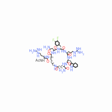 CC(=O)N[C@@H](CCCNC(=N)N)C(=O)N[C@H]1CCCNC(=O)CCC(C(N)=O)NC(=O)[C@H](Cc2c[nH]c3ccccc23)NC(=O)[C@H](CCCNC(=N)N)NC(=O)[C@@H](Cc2ccc(F)c(F)c2)NC(=O)[C@H](CC(N)=O)NC1=O